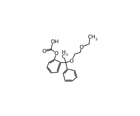 CCOCCOC(C)(c1ccccc1)c1ccccc1OC(=O)O